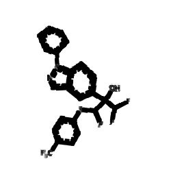 OC(c1ccc2c(cnn2-c2ccccc2)c1)(C(F)F)C(F)Sc1ccc(C(F)(F)F)cc1